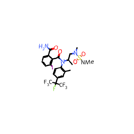 CNS(=O)(=O)N(C)CC(C)N(C(=O)c1c(I)cccc1C(N)=O)c1ccc(C(F)(C(F)(F)F)C(F)(F)F)cc1C